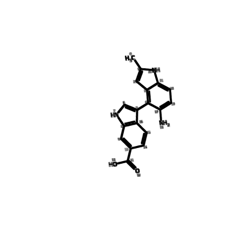 Cc1[c]c2c(-c3c[nH]c4cc(C(=O)O)ccc34)c(N)ccc2[nH]1